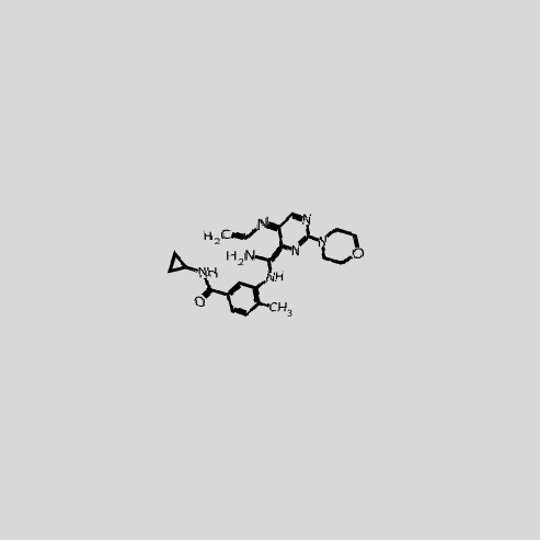 C=C/N=C1/C=NC(N2CCOCC2)=N/C1=C(/N)Nc1cc(C(=O)NC2CC2)ccc1C